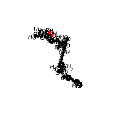 Cc1cc(OCCCC(=O)NCCNC(=O)[C@H](CS(=O)(=O)O)NC(=O)[C@H](CS(=O)(=O)O)NC(=S)Nc2ccc(C[C@@H](CN(CC(=O)O)CC(C)N(CC(=O)O)CC(=O)O)N(CC(=O)O)CC(=O)O)cc2)cc(C)c1S(=O)(=O)N[C@@H](CNC(=O)c1ccc(CCc2ccc3c(n2)NCCC3)cc1)C(=O)O